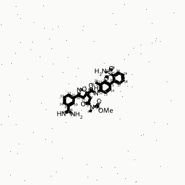 COC(=O)N(C)C(=O)CC1(C(=O)Nc2ccc(-c3ccccc3S(N)(=O)=O)cc2C)CC(c2cccc(C(=N)N)c2)=NO1